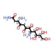 NC(=O)C[C@H](N)C(=O)CC(=O)C(=O)[C@H](N)[C@@H](O)[C@H](O)[C@H](O)CO